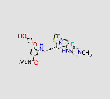 CNC(=O)c1ccc(OC2CC(O)C2)c(NCC#Cc2cc3c(N[C@@H]4CCN(C)C[C@@H]4F)cccn3c2SC(F)(F)F)c1